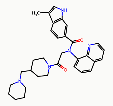 Cc1c[nH]c2cc(C(=O)N(CC(=O)N3CCC(CN4CCCCC4)CC3)c3cccc4cccnc34)ccc12